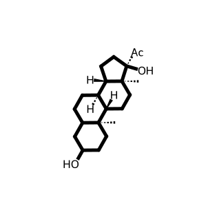 CC(=O)[C@@]1(O)CC[C@H]2[C@@H]3CCC4CC(O)CC[C@]4(C)[C@H]3CC[C@@]21C